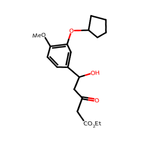 CCOC(=O)CC(=O)CC(O)c1ccc(OC)c(OC2CCCC2)c1